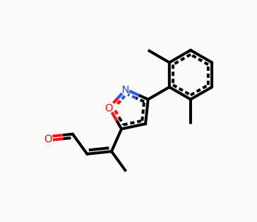 C/C(=C/C=O)c1cc(-c2c(C)cccc2C)no1